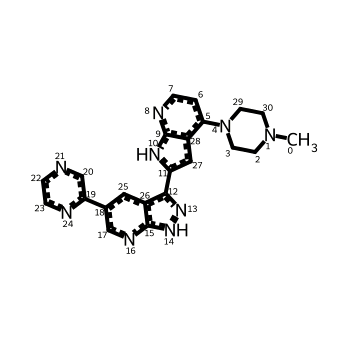 CN1CCN(c2ccnc3[nH]c(-c4n[nH]c5ncc(-c6cnccn6)cc45)cc23)CC1